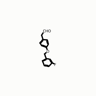 O=CCc1ccc(OCc2cccc(F)c2)cc1